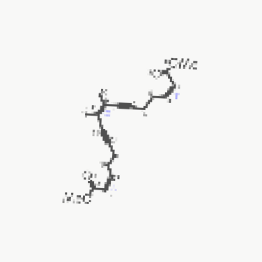 COC(=O)/C=C\CCC#C/C(C)=C(/C)C#CCC/C=C\C(=O)OC